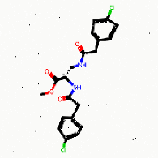 COC(=O)[C@H](CNC(=O)Cc1ccc(Cl)cc1)NC(=O)Cc1ccc(Cl)cc1